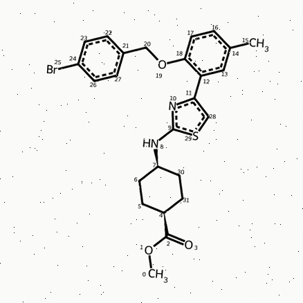 COC(=O)[C@H]1CC[C@@H](Nc2nc(-c3cc(C)ccc3OCc3ccc(Br)cc3)cs2)CC1